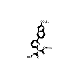 CCOC(=O)c1cn2cc(-c3cccc(N(C(=O)OC(C)(C)C)C(=O)OC(C)(C)C)n3)ccc2n1